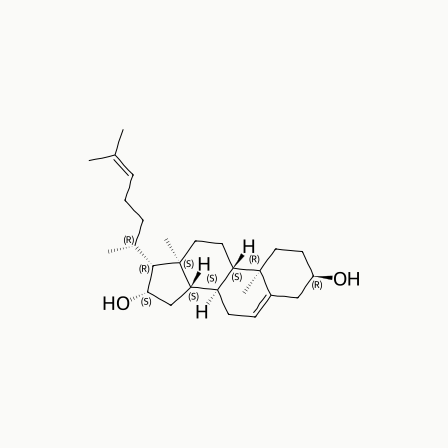 CC(C)=CCC[C@@H](C)[C@H]1[C@@H](O)C[C@H]2[C@@H]3CC=C4C[C@H](O)CC[C@]4(C)[C@H]3CC[C@]12C